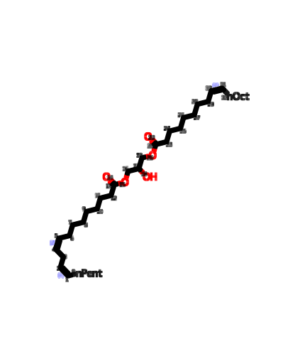 CCCCC/C=C\C/C=C\CCCCCCCC(=O)OCC(O)COC(=O)CCCCCCC/C=C\CCCCCCCC